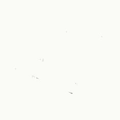 C/C=C(\C[C@H](CC)C1=CC[C@@H]([N+](=O)[O-])[C@@H](N[C@@H]2C=C[C@H](C3(N)CCC3)CC2)N1)N1CCC(C(=C2CCC2)N(C)C)CC1